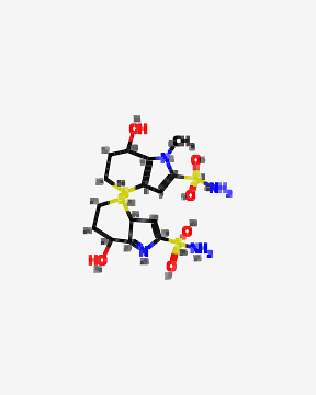 Cn1c(S(N)(=O)=O)cc2c1C(O)CCS2.NS(=O)(=O)C1=CC2SCCC(O)C2=N1